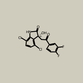 O=C(C[C@]1(O)C(=O)Nc2c(Cl)ccc(Cl)c21)c1ccc(F)c(F)c1